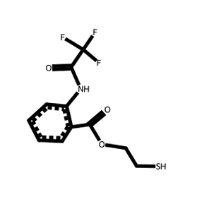 O=C(OCCS)c1ccccc1NC(=O)C(F)(F)F